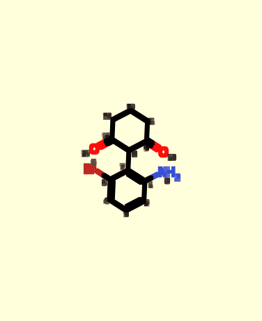 Nc1cccc(Br)c1C1C(=O)CCCC1=O